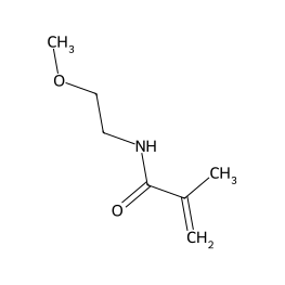 C=C(C)C(=O)NCCOC